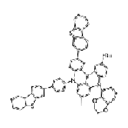 Cc1cc2c3c(c1)N(c1cccc4c1OCCO4)c1ccc(C(C)(C)C)cc1B3c1cc(-c3ccc4c(c3)sc3ccccc34)ccc1N2c1ccc(-c2ccc3c(c2)SC2C=CC=CC32)cc1